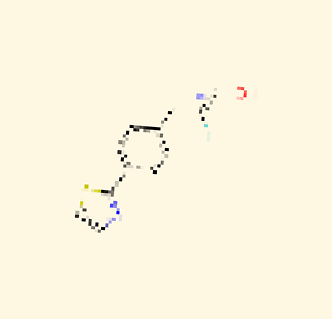 O/C=C(\F)Cc1ccc(-c2nccs2)cc1